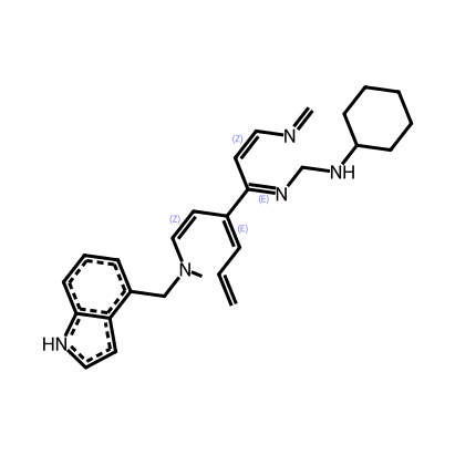 C=C/C=C(\C=C/N(C)Cc1cccc2[nH]ccc12)C(/C=C\N=C)=N/CNC1CCCCC1